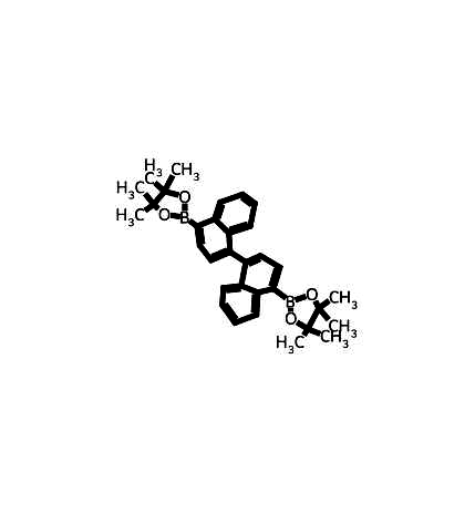 CC1(C)OB(c2ccc(-c3ccc(B4OC(C)(C)C(C)(C)O4)c4ccccc34)c3ccccc23)OC1(C)C